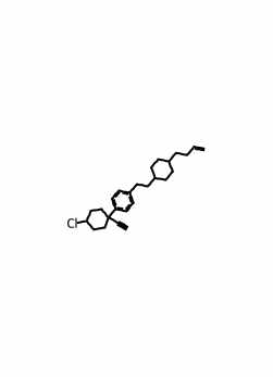 C#CC1(c2ccc(CCC3CCC(CCC=C)CC3)cc2)CCC(Cl)CC1